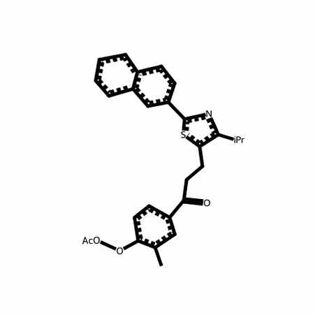 CC(=O)OOc1ccc(C(=O)CCc2sc(-c3ccc4ccccc4c3)nc2C(C)C)cc1C